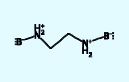 [B-][NH2+]CC[NH2+][B-]